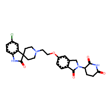 O=C1CCC(N2Cc3cc(OCCN4CCC5(CC4)C(=O)Nc4ccc(Cl)cc45)ccc3C2=O)C(=O)N1